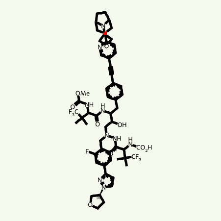 COC(=O)NC(C(=O)NC(Cc1ccc(C#Cc2ccc(N3CC4CCC(C3)N4C3COC3)nc2)cc1)C(O)CN(Cc1c(F)cc(-c2ccn([C@H]3CCOC3)n2)cc1F)NC(=O)C(NC(=O)O)C(C)(C)C(F)(F)F)C(C)(C)C(F)(F)F